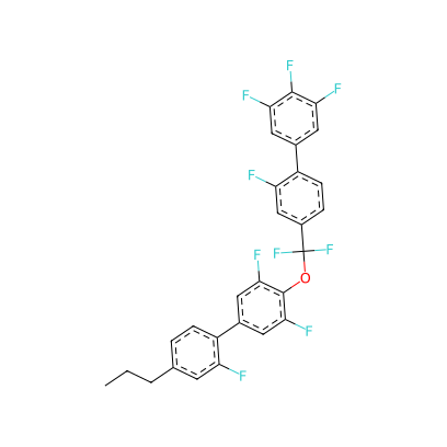 CCCc1ccc(-c2cc(F)c(OC(F)(F)c3ccc(-c4cc(F)c(F)c(F)c4)c(F)c3)c(F)c2)c(F)c1